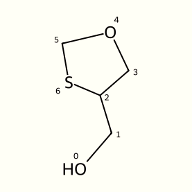 OCC1COCS1